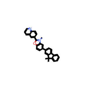 CN1c2cc(-c3ccc4c(c3)C(C)(C)c3ccccc3-4)ccc2OC1c1ccc2ncccc2c1